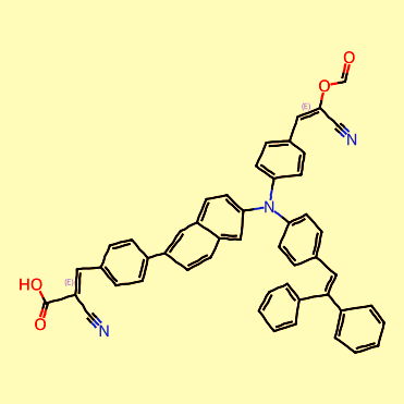 N#C/C(=C\c1ccc(N(c2ccc(C=C(c3ccccc3)c3ccccc3)cc2)c2ccc3cc(-c4ccc(/C=C(\C#N)C(=O)O)cc4)ccc3c2)cc1)OC=O